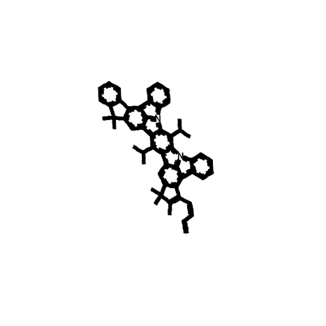 C=C/C=C\C1=C(C)C(C)(C)c2cc3c4c(C(C)C)c5c6cc7c(c8c9ccccc9n(c5c(C(C)C)c4n4c5ccccc5c(c21)c34)c68)-c1ccccc1C7(C)C